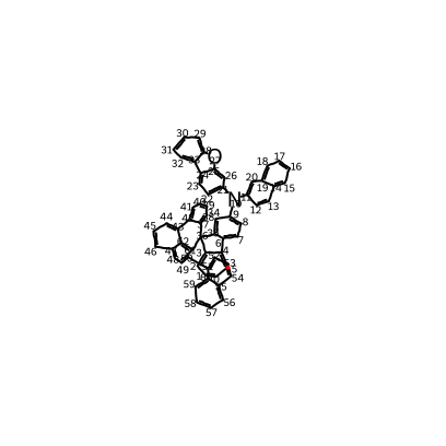 c1ccc2c(c1)-c1ccc(N(c3ccc4ccccc4c3)c3ccc4c(c3)oc3ccccc34)cc1C21c2ccccc2-c2cccc3ccc(-c4cccc5ccccc45)c1c23